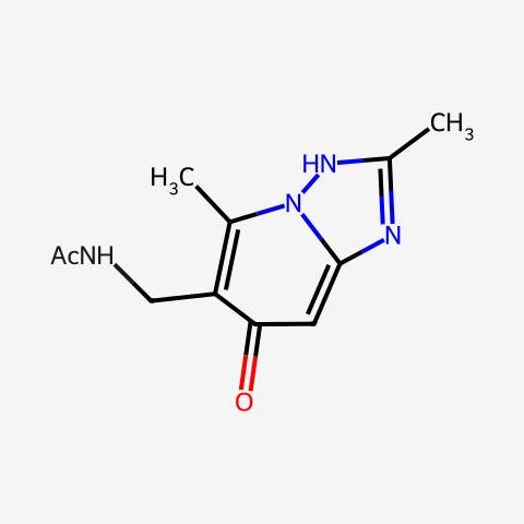 CC(=O)NCc1c(C)n2[nH]c(C)nc2cc1=O